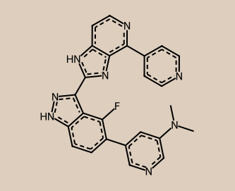 CN(C)c1cncc(-c2ccc3[nH]nc(-c4nc5c(-c6ccncc6)nccc5[nH]4)c3c2F)c1